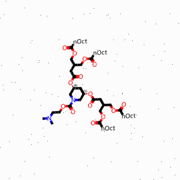 CCCCCCCCC(=O)OCC(COC(=O)CCCCCCCC)CC(=O)O[C@@H]1C[C@H](OC(=O)CC(COC(=O)CCCCCCCC)COC(=O)CCCCCCCC)CN(C(=O)OCCN(C)C)C1